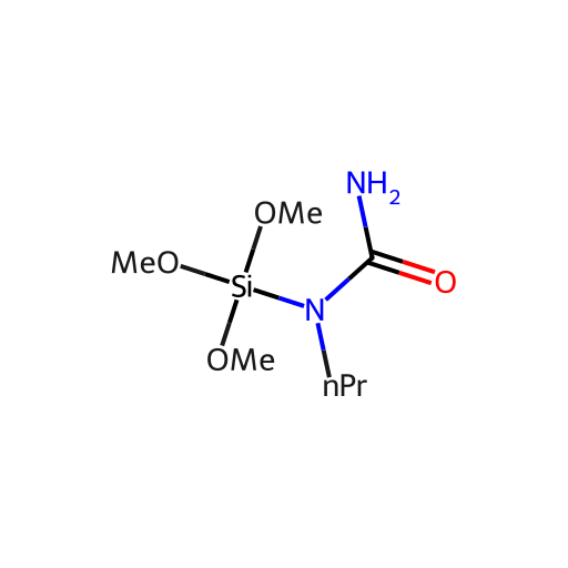 CCCN(C(N)=O)[Si](OC)(OC)OC